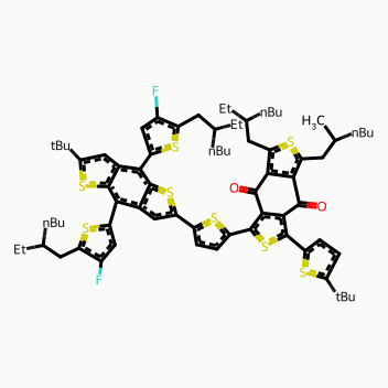 CCCCC(C)Cc1sc(CC(CC)CCCC)c2c1C(=O)c1c(-c3ccc(C(C)(C)C)s3)sc(-c3ccc(-c4cc5c(-c6cc(F)c(CC(CC)CCCC)s6)c6sc(C(C)(C)C)cc6c(-c6cc(F)c(CC(CC)CCCC)s6)c5s4)s3)c1C2=O